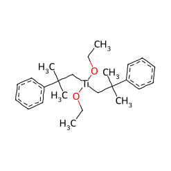 CC[O][Ti]([CH2]C(C)(C)c1ccccc1)([CH2]C(C)(C)c1ccccc1)[O]CC